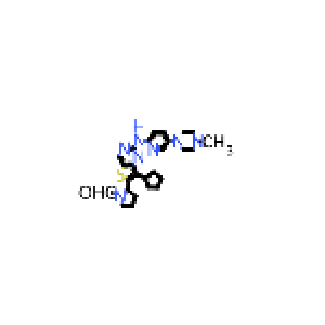 CN1CCN(c2ccc(Nc3ncc4sc(C5CCCN5C=O)c(C5CCCC5)c4n3)nc2)CC1